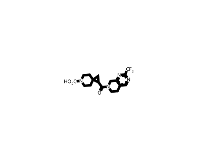 O=C(O)N1CCC2(CC1)CC2C(=O)N1CCc2cnc(C(F)(F)F)nc2C1